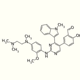 COc1cc(N(C)CCN(C)C)ccc1Nc1ncc(-c2ccc(O)c(C=O)c2)c(-c2cn(C)c3ccccc23)n1